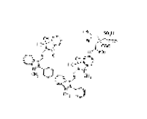 CCCCC(CC)CC(CC(CC)CCCC)(C(=O)[O-])C(C(=O)[O-])S(=O)(=O)O.Cn1c(-c2ccccc2)c(C=CC2=[N+](C)c3ccccc3C2(C)C)c2ccccc21.Cn1c(-c2ccccc2)c(C=CC2=[N+](C)c3ccccc3C2(C)C)c2ccccc21